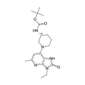 CCn1c(=O)[nH]c2c(N3CCC[C@@H](NC(=O)OC(C)(C)C)C3)cc(C)nc21